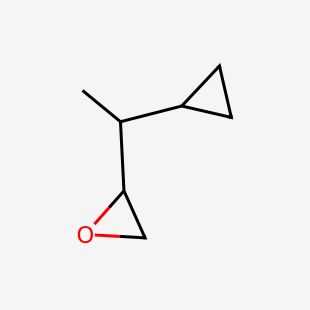 CC(C1CC1)C1CO1